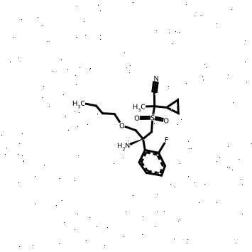 CCCCOC[C@](N)(CS(=O)(=O)C(C)(C#N)C1CC1)c1ccccc1F